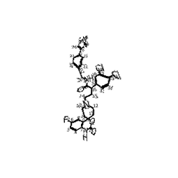 O=C1Nc2ccc(F)cc2C2(CCN(CCC(C(=O)NCc3ccc(-c4csnn4)cc3)c3ccc(Cl)c(Cl)c3)CC2)O1